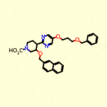 O=C(O)N1CCC(c2ncc(OCCCOCc3ccccc3)cn2)C(OCc2ccc3ccccc3c2)C1